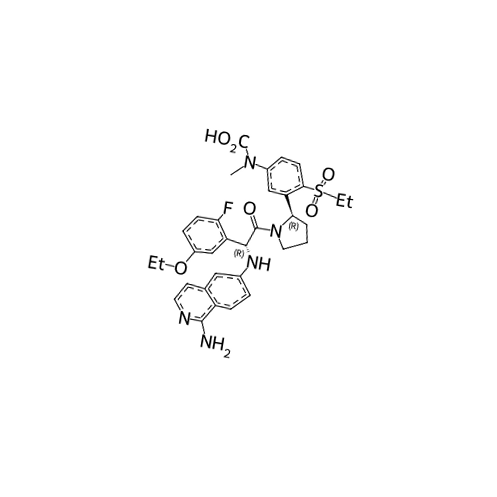 CCOc1ccc(F)c([C@@H](Nc2ccc3c(N)nccc3c2)C(=O)N2CCC[C@@H]2c2cc(N(C)C(=O)O)ccc2S(=O)(=O)CC)c1